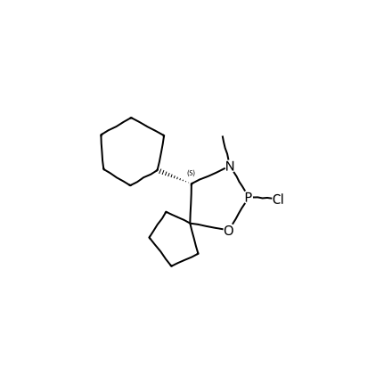 CN1[C@@H](C2CCCCC2)C2(CCCC2)OP1Cl